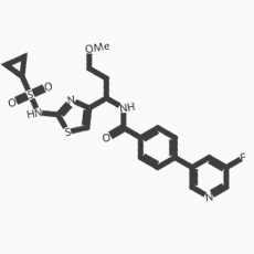 COCCC(NC(=O)c1ccc(-c2cncc(F)c2)cc1)c1csc(NS(=O)(=O)C2CC2)n1